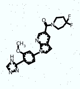 COc1cc(-n2ccc3cc(C(=O)N4CCC(F)(F)CC4)cnc32)ccc1-c1nnc[nH]1